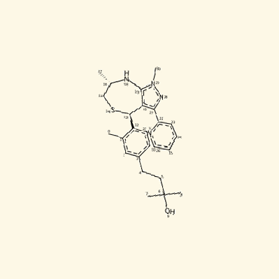 Cc1cc(CCC(C)(C)O)ccc1[C@H]1SC[C@H](C)Nc2c1c(-c1ccccn1)nn2C